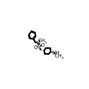 CN[C@H]1CC[C@H](CS(=O)(=O)N(C)Cc2ccccc2)CC1